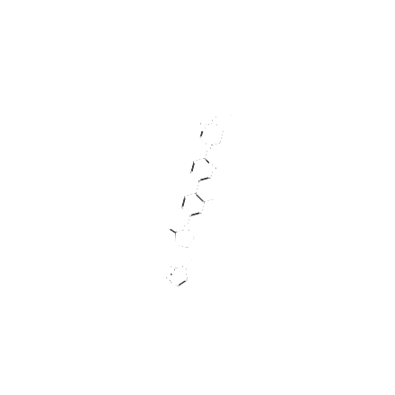 CN1CCN(c2ccc(-c3ccc(N4C[C@H](Cn5ccnn5)OC4=O)cc3F)cn2)C=N1